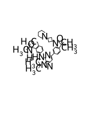 CCc1ccc(Nc2nc(-c3ccc4c(c3)N([C@H]3C[C@@H](N5CCCCC5)C3)C(=O)C4(C)C)cc3ncn(C(C)C)c23)cc1C(=O)NC